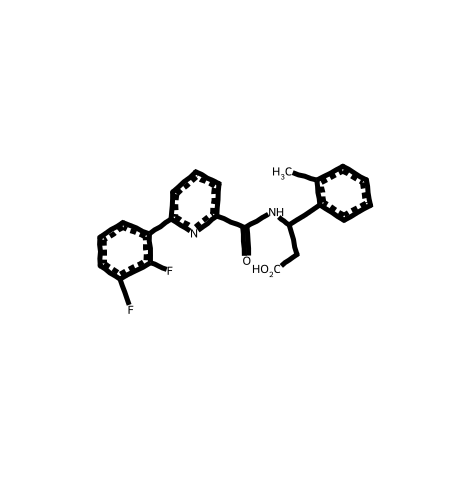 Cc1ccccc1C(CC(=O)O)NC(=O)c1cccc(-c2cccc(F)c2F)n1